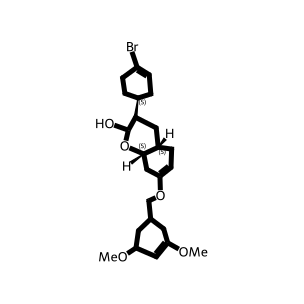 COC1=CC(OC)CC(COC2=CC[C@H]3CC([C@@H]4CC=C(Br)CC4)C(O)O[C@H]3C2)C1